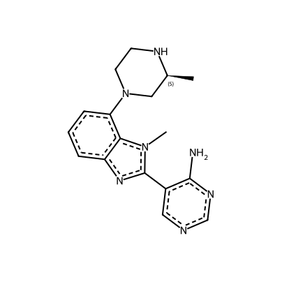 C[C@H]1CN(c2cccc3nc(-c4cncnc4N)n(C)c23)CCN1